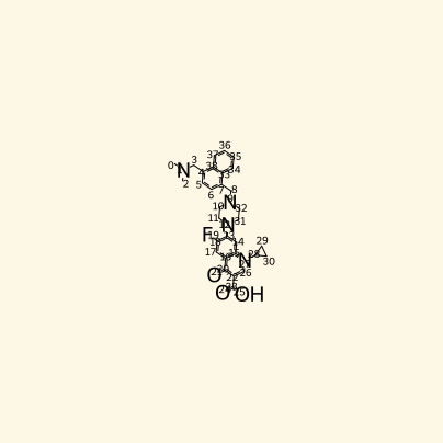 CN(C)Cc1ccc(CN2CCN(c3cc4c(cc3F)c(=O)c(C(=O)O)cn4C3CC3)CC2)c2ccccc12